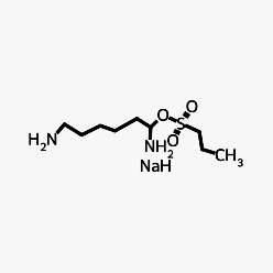 CCCS(=O)(=O)OC(N)CCCCCN.[NaH]